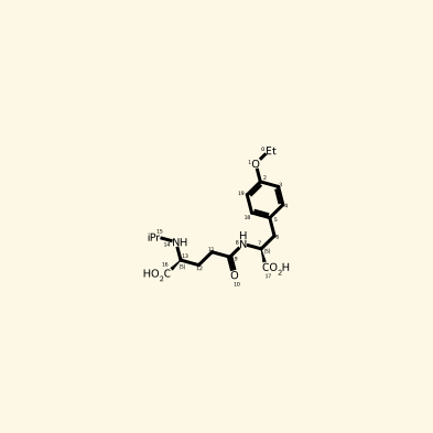 CCOc1ccc(C[C@H](NC(=O)CC[C@H](NC(C)C)C(=O)O)C(=O)O)cc1